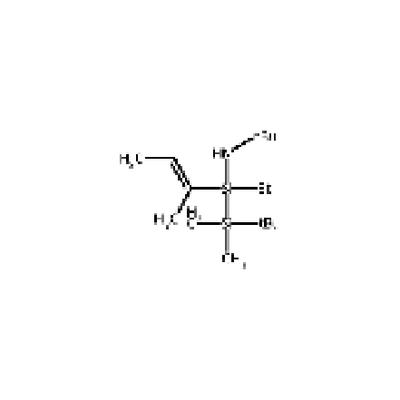 C/C=C(\C)[Si](CC)(NCCCC)[Si](C)(C)C(C)(C)C